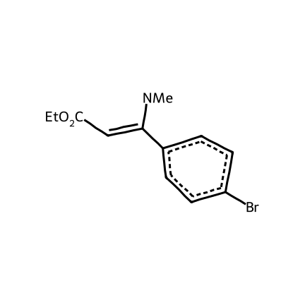 CCOC(=O)C=C(NC)c1ccc(Br)cc1